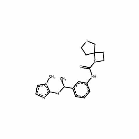 C[C@H](Sc1nncn1C)c1cccc(NC(=O)N2CCC23CCOC3)c1